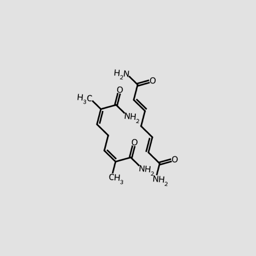 CC(=CCC=C(C)C(N)=O)C(N)=O.NC(=O)C=CCC=CC(N)=O